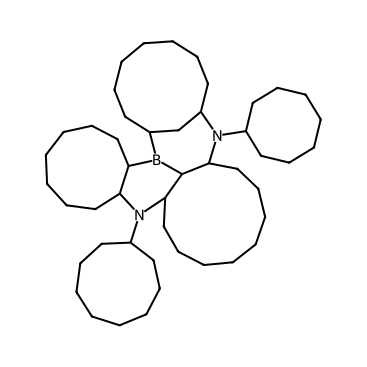 C1CCCC(N2C3CCCCCCCC(C3)B3C4CCCCCCCC4N(C4CCCCCCCC4)C4CCCCCCCCC2C34)CCC1